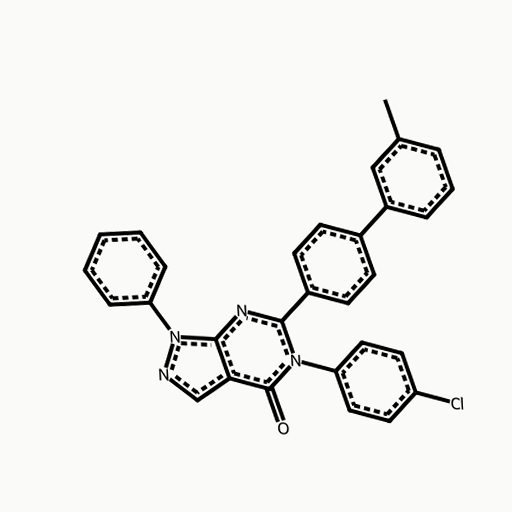 Cc1cccc(-c2ccc(-c3nc4c(cnn4-c4ccccc4)c(=O)n3-c3ccc(Cl)cc3)cc2)c1